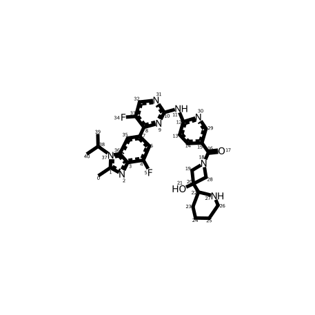 Cc1nc2c(F)cc(-c3nc(Nc4ccc(C(=O)N5CC(O)(C6CCCCN6)C5)cn4)ncc3F)cc2n1C(C)C